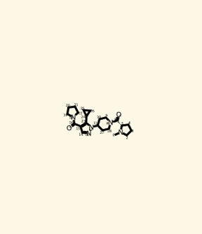 CN1CCC[C@H]1C(=O)N1CCC(n2ncc(C(=O)N3CCCC3)c2C2CC2)CC1